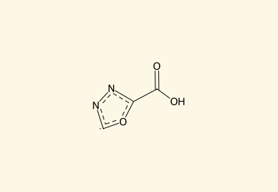 O=C(O)c1nn[c]o1